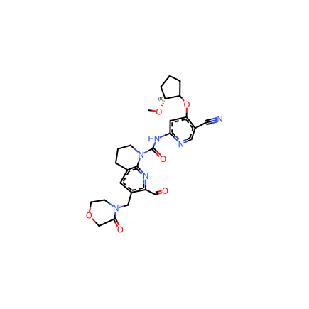 CO[C@@H]1CCCC1Oc1cc(NC(=O)N2CCCc3cc(CN4CCOCC4=O)c(C=O)nc32)ncc1C#N